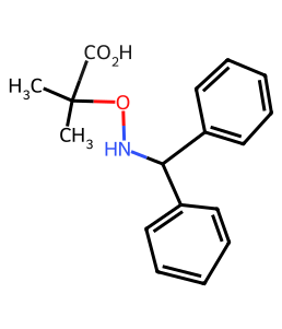 CC(C)(ONC(c1ccccc1)c1ccccc1)C(=O)O